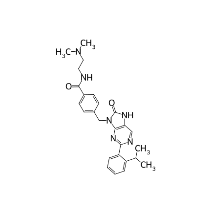 CC(C)c1ccccc1-c1ncc2[nH]c(=O)n(Cc3ccc(C(=O)NCCN(C)C)cc3)c2n1